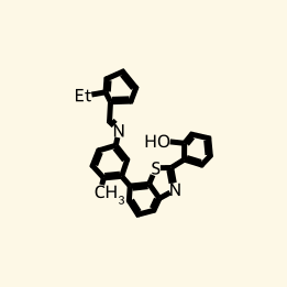 CCc1ccccc1/C=N/c1ccc(C)c(-c2cccc3nc(-c4ccccc4O)sc23)c1